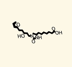 O=C(O)CCCCCCC1CN(CCC(O)CCc2ccco2)C(=O)N1